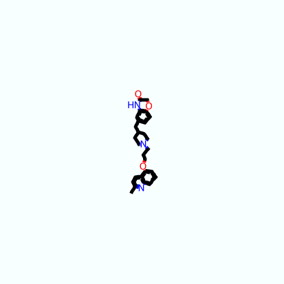 Cc1ccc2c(OCCCN3CCC(Cc4ccc5c(c4)NC(=O)CO5)CC3)cccc2n1